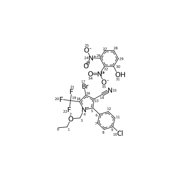 CCOCn1c(-c2ccc(Cl)cc2)c(C#N)c(Br)c1C(F)(F)F.O=[N+]([O-])c1cccc(O)c1[N+](=O)[O-]